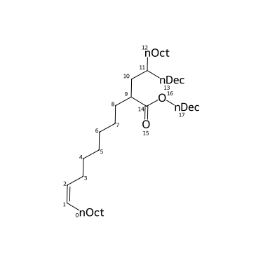 CCCCCCCC/C=C\CCCCCCC(CC(CCCCCCCC)CCCCCCCCCC)C(=O)OCCCCCCCCCC